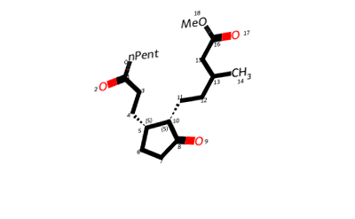 CCCCCC(=O)CC[C@H]1CCC(=O)[C@H]1CCC(C)CC(=O)OC